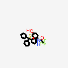 O=C(N[C@@H]1CC[C@H](O)[C@@H](SC(c2ccccc2)(c2ccccc2)c2ccccc2)C1)C(F)(F)F